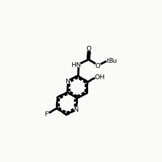 CC(C)(C)OC(=O)Nc1nc2cc(F)cnc2cc1O